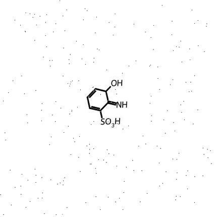 N=C1C(S(=O)(=O)O)=CC=CC1O